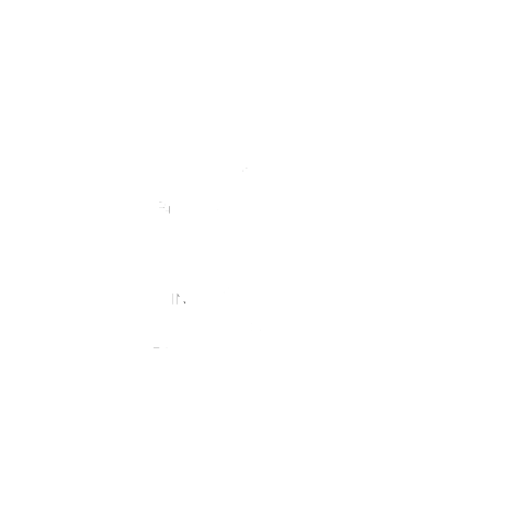 CCNC(=O)c1c(Br)sc2c1CCCC2